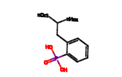 CCCCCCCCC(CCCCCC)Cc1ccccc1P(=O)(O)O